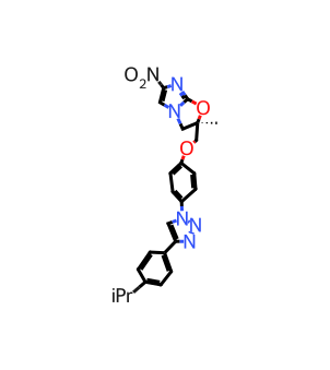 CC(C)c1ccc(-c2cn(-c3ccc(OC[C@@]4(C)Cn5cc([N+](=O)[O-])nc5O4)cc3)nn2)cc1